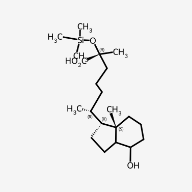 C[C@H](CCC[C@@](C)(O[Si](C)(C)C)C(=O)O)[C@H]1CCC2C(O)CCC[C@]21C